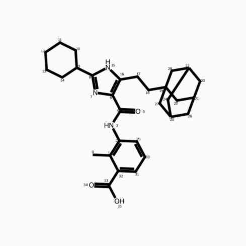 Cc1c(NC(=O)c2nc(C3CCCCC3)[nH]c2CCC23CC4CC(CC(C4)C2)C3)cccc1C(=O)O